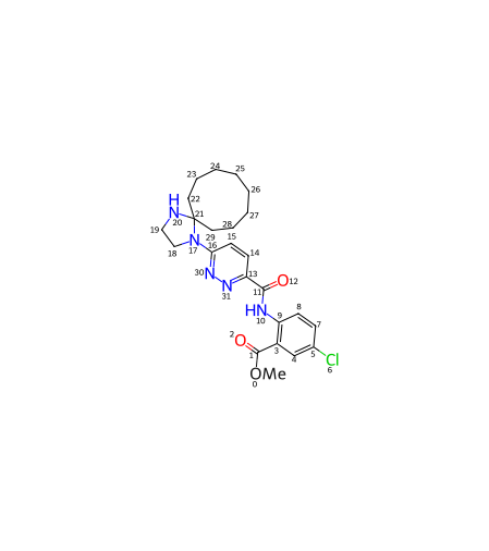 COC(=O)c1cc(Cl)ccc1NC(=O)c1ccc(N2CCNC23CCCCCCCC3)nn1